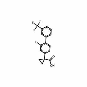 O=C(O)C1(c2ccc(-c3cccc(C(F)(F)F)c3)c(F)c2)CC1